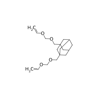 C=COCOCC12CC3CC(C1)CC(COCOC=C)(C3)C2